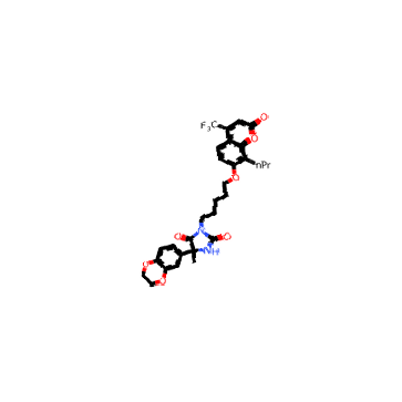 CCCc1c(OCCCCCN2C(=O)NC(C)(c3ccc4c(c3)OCCO4)C2=O)ccc2c(C(F)(F)F)cc(=O)oc12